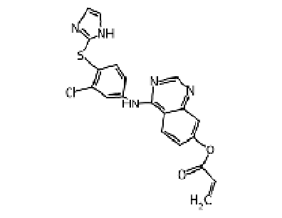 C=CC(=O)Oc1ccc2c(Nc3ccc(Sc4ncc[nH]4)c(Cl)c3)ncnc2c1